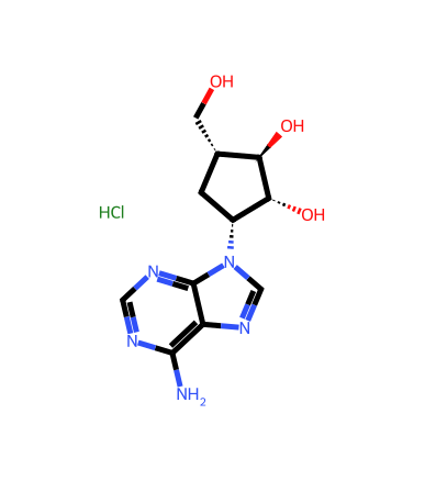 Cl.Nc1ncnc2c1ncn2[C@@H]1C[C@H](CO)[C@@H](O)[C@@H]1O